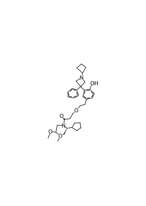 COC(CN(C(=O)CCOCCc1ccc(O)c(C2(c3ccccc3)CN(C3CCC3)C2)c1)[C@H](C)C1CCCC1)OC